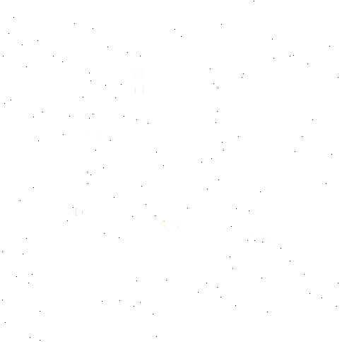 Cc1cc(C(C)(C)C)cc(C)c1[S].Cc1cc(C(C)(C)C)cc(C)c1[S].Cc1cc(C(C)(C)C)cc(C)c1[S].F.F.F